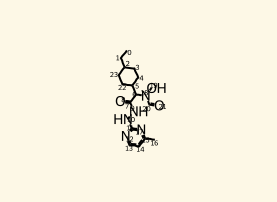 CCC1CCC(C(C(=O)NNc2nccc(C)n2)N(O)C=O)CC1